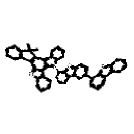 CC1(C)c2ccccc2-c2c1c1c3ccccc3n(-c3cccc4c3oc3ccc(-c5cccc6c5sc5ccccc56)cc34)c1c1c2oc2ccccc21